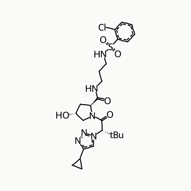 CC(C)(C)[C@@H](C(=O)N1C[C@H](O)C[C@H]1C(=O)NCCCNS(=O)(=O)c1ccccc1Cl)n1cc(C2CC2)nn1